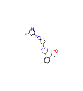 Fc1cncc(N2CC3(CC[C@@H](N4CCC(c5ccccc5C5CCOCC5)CC4)C3)C2)c1